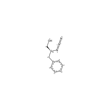 [N-]=[N+]=N[C@H](CO)Cc1ccccc1